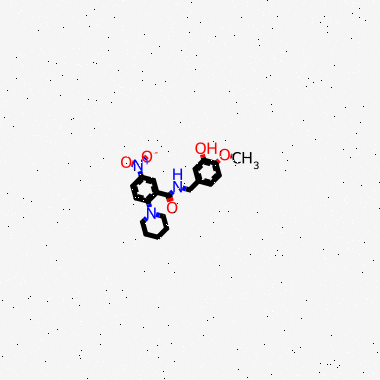 COc1ccc(CNC(=O)c2cc([N+](=O)[O-])ccc2N2CCCCC2)cc1O